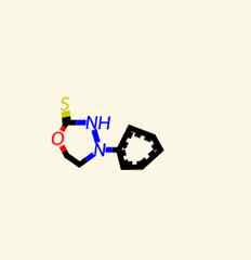 S=C1NN(c2ccccc2)CCO1